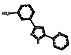 O=S(=O)(O)c1cccc(-c2cc(-c3ccccn3)[nH]n2)c1